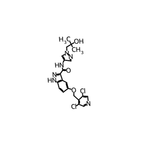 CC(C)(O)Cn1cc(NC(=O)c2n[nH]c3ccc(OCc4c(Cl)cncc4Cl)cc23)cn1